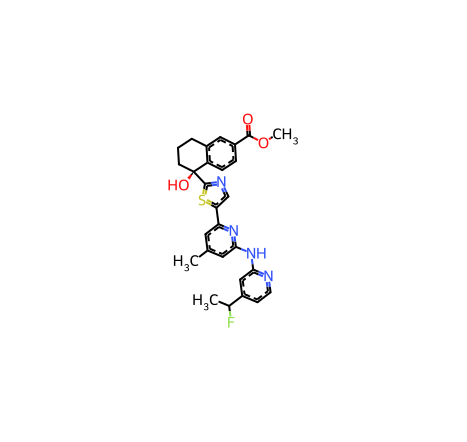 COC(=O)c1ccc2c(c1)CCC[C@@]2(O)c1ncc(-c2cc(C)cc(Nc3cc(C(C)F)ccn3)n2)s1